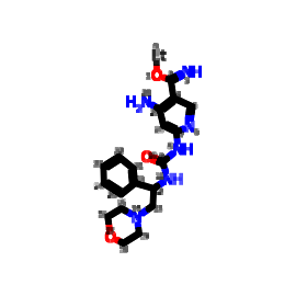 CCOC(=N)c1cnc(NC(=O)NC(CN2CCOCC2)c2ccccc2)cc1N